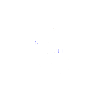 c1ccc(Nc2c3c(nc4ccccc24)CCSC3)cc1